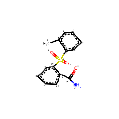 Cc1ccccc1S(=O)(=O)c1ccccc1C(N)=O